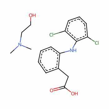 CN(C)CCO.O=C(O)Cc1ccccc1Nc1c(Cl)cccc1Cl